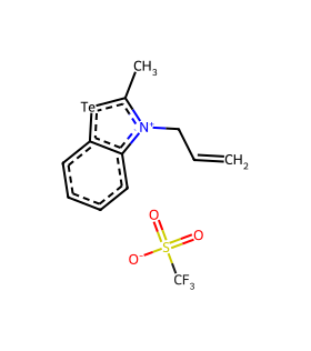 C=CC[n+]1c(C)[te]c2ccccc21.O=S(=O)([O-])C(F)(F)F